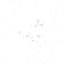 CC1=C(OC(=O)O)C(c2cccc([N+](=O)[O-])c2)C([N+](=O)[O-])=C(C)N1